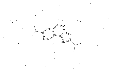 CC(C)c1cc2ccc3cc(C(C)C)[nH]c3c2cn1